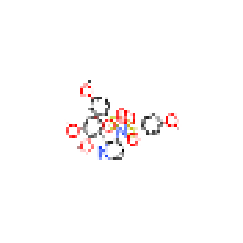 COc1ccc(S(=O)(=O)N(c2cccnc2-c2cccc(OC)c2OC)S(=O)(=O)c2ccc(OC)cc2)cc1